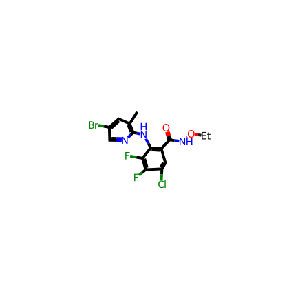 CCONC(=O)c1cc(Cl)c(F)c(F)c1Nc1ncc(Br)cc1C